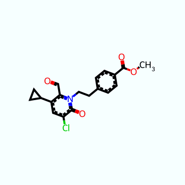 COC(=O)c1ccc(CCn2c(C=O)c(C3CC3)cc(Cl)c2=O)cc1